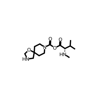 CN[C@H](C(=O)OC(=O)N1CCC2(CC1)CNCO2)C(C)C